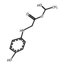 CC(O)OC(=O)CNc1ccc(O)cc1